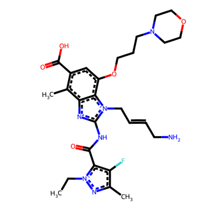 CCn1nc(C)c(F)c1C(=O)Nc1nc2c(C)c(C(=O)O)cc(OCCCN3CCOCC3)c2n1CC=CCN